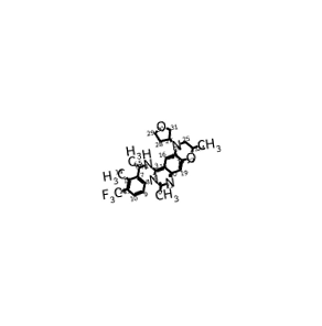 Cc1nc(N[C@H](C)c2cccc(C(F)(F)F)c2C)c2cc3c(cc2n1)OC(C)CN3C1CCOC1